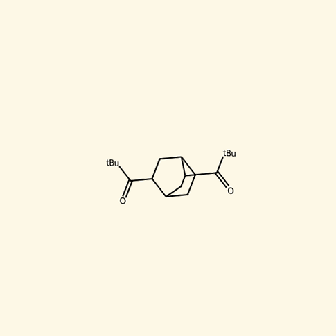 CC(C)(C)C(=O)C1CC2CCC1CC2C(=O)C(C)(C)C